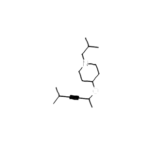 CC(C)C#CC(C)OC1CCN(CC(C)C)CC1